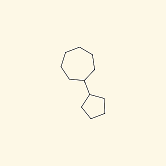 C1CCC[C](C2CCCC2)CC1